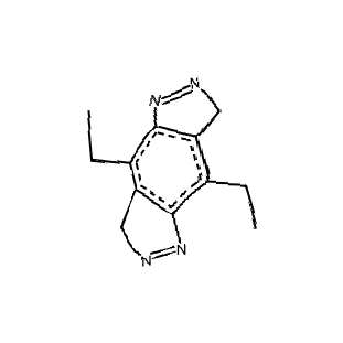 CCc1c2c(c(CC)c3c1N=NC3)N=NC2